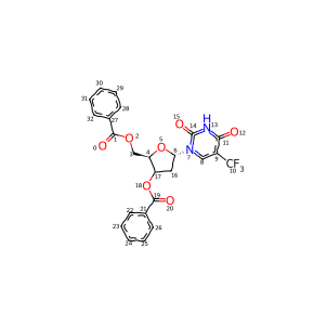 O=C(OC[C@H]1O[C@H](n2cc(C(F)(F)F)c(=O)[nH]c2=O)CC1OC(=O)c1ccccc1)c1ccccc1